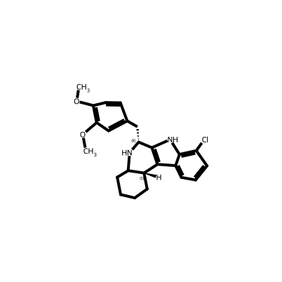 COc1ccc(C[C@H]2NC3CCCC[C@H]3c3c2[nH]c2c(Cl)cccc32)cc1OC